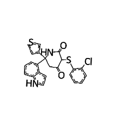 O=C1CC(c2ccsc2)(c2cccc3[nH]ccc23)NC(=O)C1Sc1ccccc1Cl